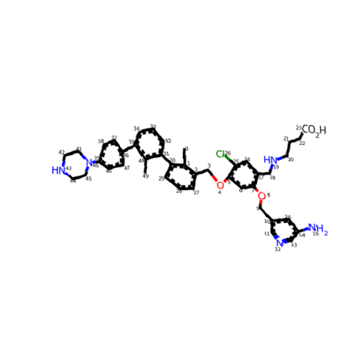 Cc1c(COc2cc(OCc3cncc(N)c3)c(CNCCCC(=O)O)cc2Cl)cccc1-c1cccc(-c2ccc(N3CCNCC3)cc2)c1C